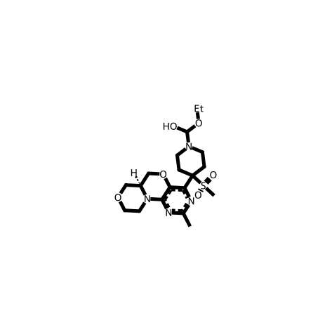 CCOC(O)N1CCC(c2nc(C)nc3c2OC[C@@H]2COCCN32)(S(C)(=O)=O)CC1